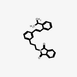 CC(C)c1ccccc1C=Cc1cccc(CCCN2C(=O)c3ccccc3C2=O)c1